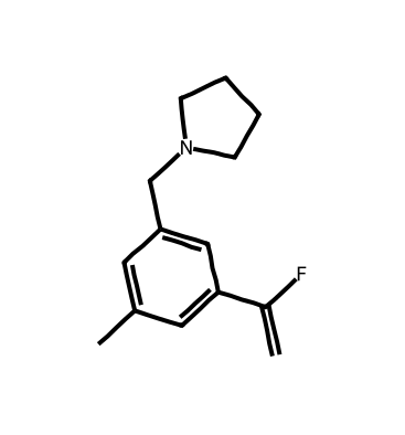 C=C(F)c1cc(C)cc(CN2CCCC2)c1